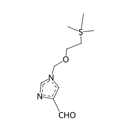 CS(C)(C)CCOCn1cnc(C=O)c1